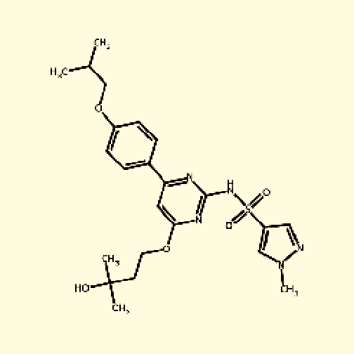 CC(C)COc1ccc(-c2cc(OCCC(C)(C)O)nc(NS(=O)(=O)c3cnn(C)c3)n2)cc1